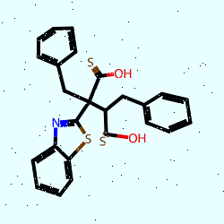 OC(=S)C(Cc1ccccc1)C(Cc1ccccc1)(C(O)=S)c1nc2ccccc2s1